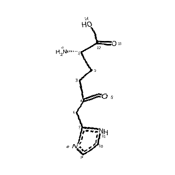 N[C@@H](CCC(=O)Cc1ncc[nH]1)C(=O)O